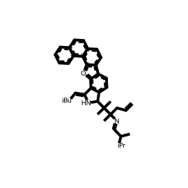 C=CCC(C)(/N=C/C(C)C(C)C)C(C)(C)C1N/C(=C\C(C)CC)c2c1ccc1c2oc2c1ccc1ccc3ccccc3c12